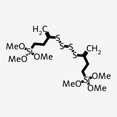 C=C(CC[Si](OC)(OC)OC)SSSSC(=C)CC[Si](OC)(OC)OC